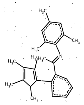 CC1=C(C)C(C)C(c2ccccc2/C(C)=N/c2c(C)cc(C)cc2C)=C1C